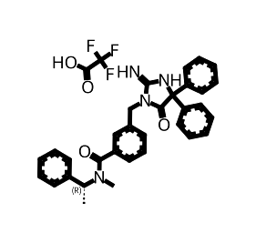 C[C@H](c1ccccc1)N(C)C(=O)c1cccc(CN2C(=N)NC(c3ccccc3)(c3ccccc3)C2=O)c1.O=C(O)C(F)(F)F